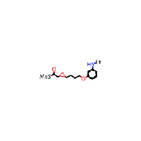 CCNc1cccc(OCCCCOCC(=O)SC)c1